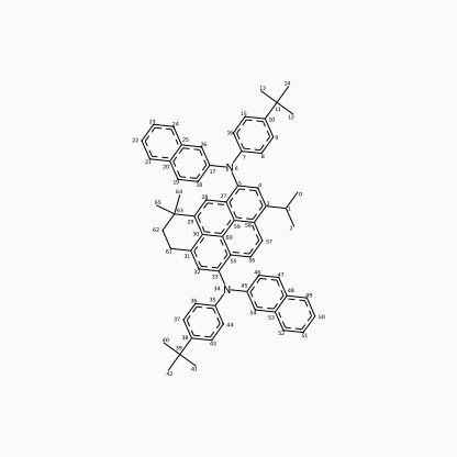 CC(C)c1cc(N(c2ccc(C(C)(C)C)cc2)c2ccc3ccccc3c2)c2cc3c4c(cc(N(c5ccc(C(C)(C)C)cc5)c5ccc6ccccc6c5)c5ccc1c2c54)CCC3(C)C